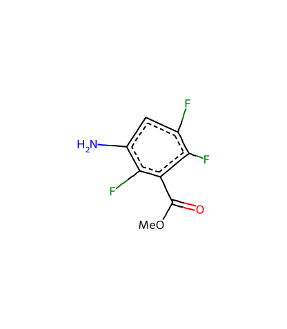 COC(=O)c1c(F)c(N)cc(F)c1F